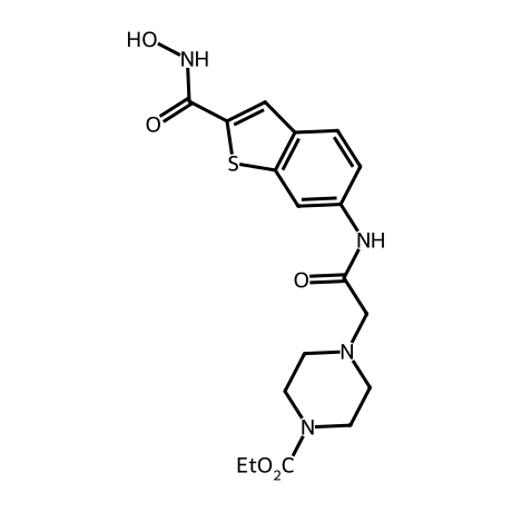 CCOC(=O)N1CCN(CC(=O)Nc2ccc3cc(C(=O)NO)sc3c2)CC1